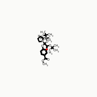 COC(=O)c1ccc(OC(O[Si](C)(C)C(C)(C)C)(C(=O)OC(C)(C)C)N2CCCC2)cc1